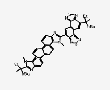 CCCCC(C)(CC)c1cc2c(cc(-c3nc4ccc5c6ccc7c(ccc8nc(C(C)(CC)CCCC)n(C)c87)c6ccc5c4n3C)c3nsnc32)c2nsnc12